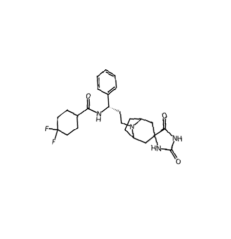 O=C1NC(=O)C2(CC3CCC(C2)N3CC[C@H](NC(=O)C2CCC(F)(F)CC2)c2ccccc2)N1